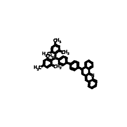 Cc1cc(C)c(B(c2ccc(-c3ccc(-c4cc5cc6ccccc6nc5c5ccccc45)cc3)cc2)c2c(C)cc(C)cc2C)c(C)c1